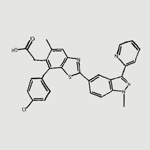 Cc1cc2nc(-c3ccc4c(c3)c(-c3ccccn3)nn4C)sc2c(-c2ccc(Cl)cc2)c1CC(=O)O